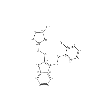 Fc1cccnc1CCc1c(CCN2CCC(F)C2)sc2ccccc12